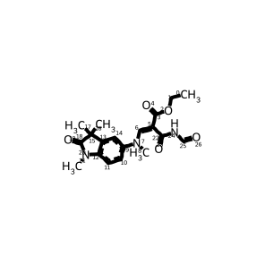 CCOC(=O)/C(=C/N(C)c1ccc2c(c1)C(C)(C)C(=O)N2C)C(=O)NC=O